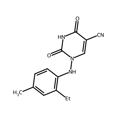 CCc1cc(C)ccc1Nn1cc(C#N)c(=O)[nH]c1=O